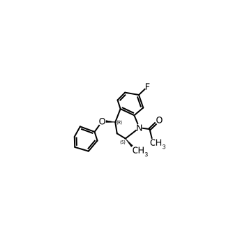 CC(=O)N1c2cc(F)ccc2[C@H](Oc2ccccc2)C[C@@H]1C